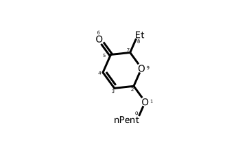 CCCCCOC1C=CC(=O)C(CC)O1